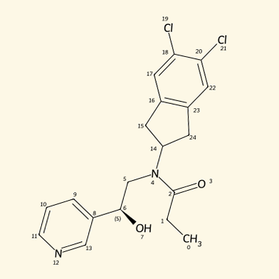 CCC(=O)N(C[C@@H](O)c1cccnc1)C1Cc2cc(Cl)c(Cl)cc2C1